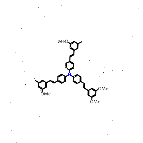 COc1cc(C)cc(C=Cc2ccc(N(c3ccc(C=Cc4cc(C)cc(OC)c4)cc3)c3ccc(C=Cc4cc(OC)cc(OC)c4)cc3)cc2)c1